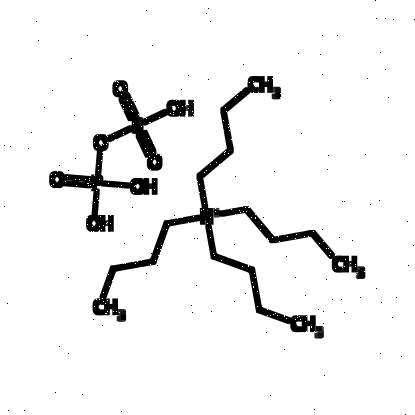 CCCC[N+](CCCC)(CCCC)CCCC.O=P(O)(O)OS(=O)(=O)O